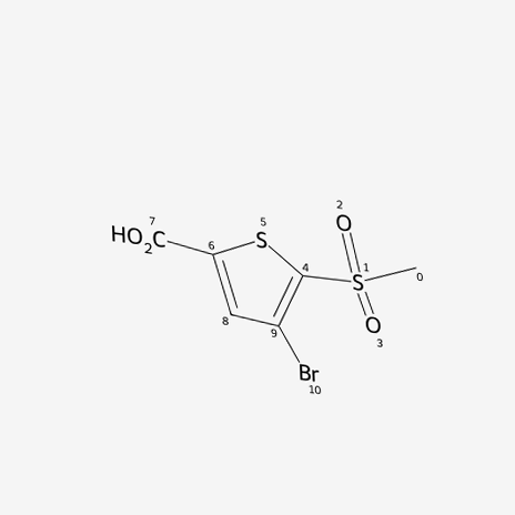 CS(=O)(=O)c1sc(C(=O)O)cc1Br